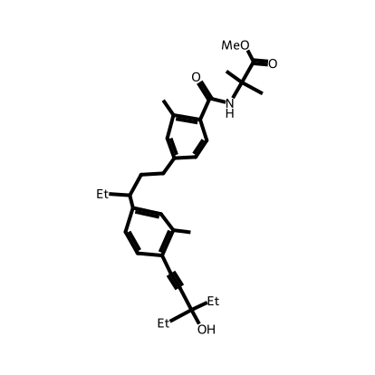 CCC(CCc1ccc(C(=O)NC(C)(C)C(=O)OC)c(C)c1)c1ccc(C#CC(O)(CC)CC)c(C)c1